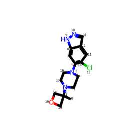 CC1(N2CCN(c3cc4[nH]ncc4cc3Cl)CC2)COC1